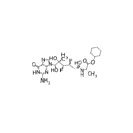 C[C@H](NP(O)C[C@H](F)[C@@H](F)[C@@](C)(O)[C@@H](O)n1cnc2c(=O)[nH]c(N)nc21)C(=O)OC1CCCCC1